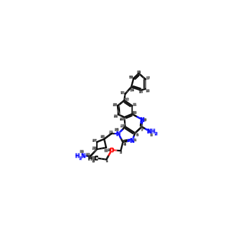 CCOCc1nc2c(N)nc3cc(Cc4ccccc4)ccc3c2n1CC1CC(CN)C1